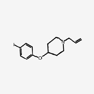 C=CCN1CCC(Oc2ccc(I)cc2)CC1